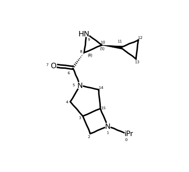 CC(C)N1CC2CN(C(=O)[C@@H]3N[C@H]3C3CC3)CC21